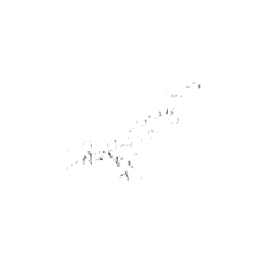 CC(C)C1=C2C3CCC4C(C)(CCC5C(C)C(OC(=O)C6CC(C=O)C6C)CCC54C)C3CCC2(NC(=O)C(C)(C)C(=O)NC2CC2)CC1=O